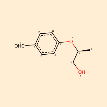 C[C@@H](CO)Oc1ccc(C=O)cc1